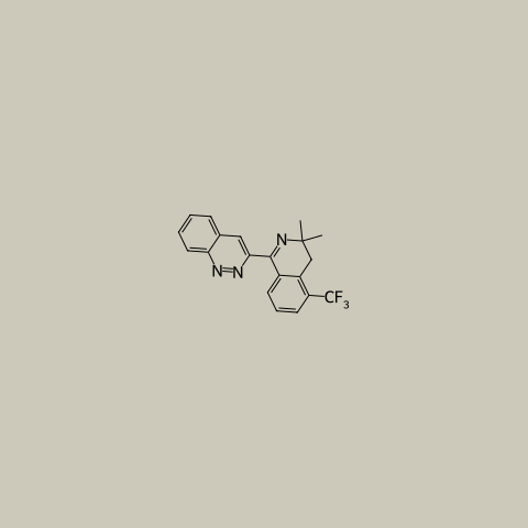 CC1(C)Cc2c(cccc2C(F)(F)F)C(c2cc3ccccc3nn2)=N1